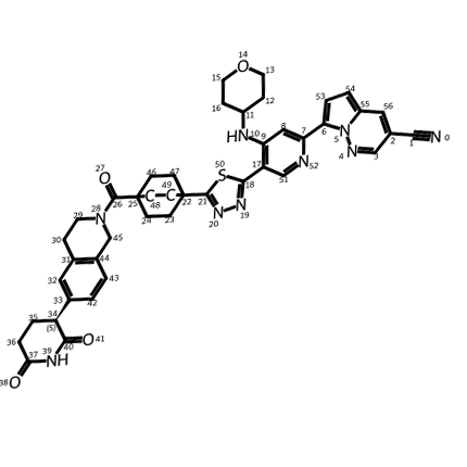 N#Cc1cnn2c(-c3cc(NC4CCOCC4)c(-c4nnc(C56CCC(C(=O)N7CCc8cc([C@@H]9CCC(=O)NC9=O)ccc8C7)(CC5)CC6)s4)cn3)ccc2c1